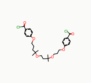 CC(C)(CCCOc1ccc(C(=O)Cl)cc1)OCCC(C)(C)OCCCOc1ccc(C(=O)Cl)cc1